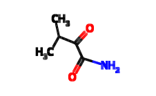 CC(C)C(=O)C(N)=O